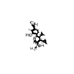 C#Cc1ccc(-c2nnc(NC)c(C3CC3)c2C2CC2)c(O)c1